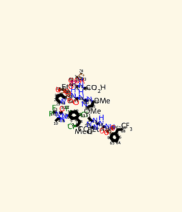 CCOC(=O)C(Cl)Cc1cc(-n2nc(C)n(C(F)F)c2=O)c(F)cc1Cl.CCS(=O)(=O)c1cccnc1S(=O)(=O)NC(=O)Nc1nc(OC)cc(OC)n1.COc1nc(C)nc(NC(=O)NS(=O)(=O)c2ccccc2CCC(F)(F)F)n1.C[S+](C)C.O=C(O)CNCP(=O)([O-])O